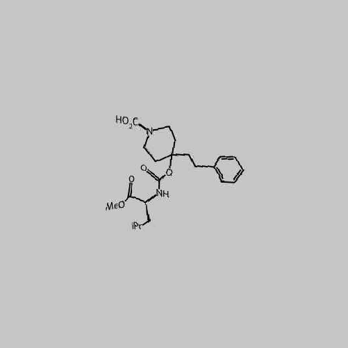 COC(=O)[C@H](CC(C)C)NC(=O)OC1(CCc2ccccc2)CCN(C(=O)O)CC1